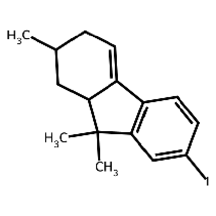 CC1CC=C2c3ccc(I)cc3C(C)(C)C2C1